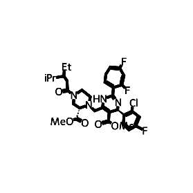 CCC(CC(=O)N1CCN(CC2=C(C(=O)OC)[C@H](c3ccc(F)cc3Cl)N=C(C3=CCC=C(F)C=C3F)N2)[C@H](C(=O)OC)C1)C(C)C